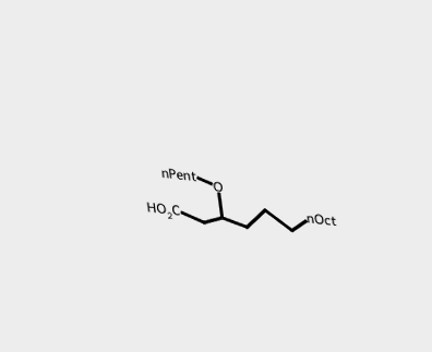 CCCCCCCCCCCC(CC(=O)O)OCCCCC